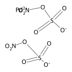 O=[N+]([O-])OS(=O)(=O)[O-].O=[N+]([O-])OS(=O)(=O)[O-].[Pd+2]